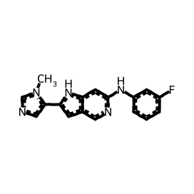 Cn1cncc1-c1cc2cnc(Nc3cccc(F)c3)cc2[nH]1